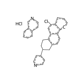 Cl.Clc1cc2c3c(ccc2c2ccccc12)CC(c1ccncc1)CC3.c1ccc2cnccc2c1